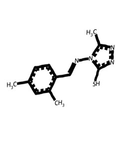 Cc1ccc(C=Nn2c(C)nnc2S)c(C)c1